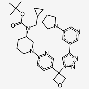 CC(C)(C)OC(=O)N(CC1CC1)[C@@H]1CCCN(c2ccc(C3(n4cc(-c5cncc(N6CCCC6)c5)nn4)COC3)cn2)C1